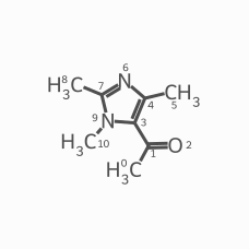 CC(=O)c1c(C)nc(C)n1C